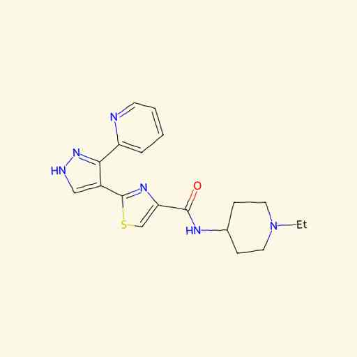 CCN1CCC(NC(=O)c2csc(-c3c[nH]nc3-c3ccccn3)n2)CC1